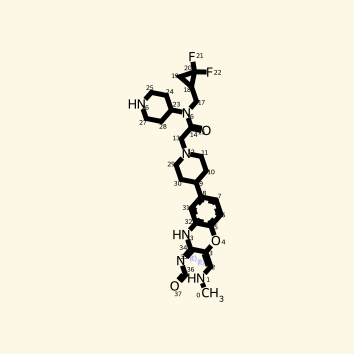 CN/C=C1/Oc2ccc(C3CCN(CC(=O)N(CC4CC4(F)F)C4CCNCC4)CC3)cc2N/C1=N/C=O